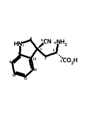 N#C[C@]1(C[C@H](N)C(=O)O)CNc2ccccc21